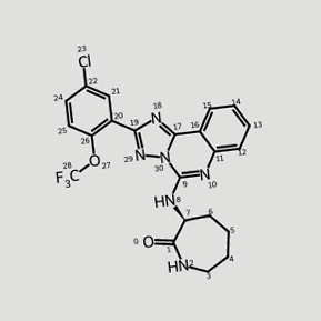 O=C1NCCCC[C@@H]1Nc1nc2ccccc2c2nc(-c3cc(Cl)ccc3OC(F)(F)F)nn12